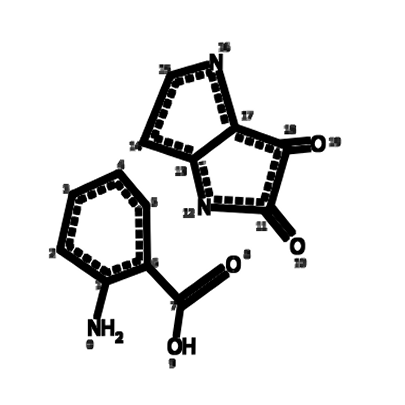 Nc1ccccc1C(=O)O.O=c1nc2ccnc-2c1=O